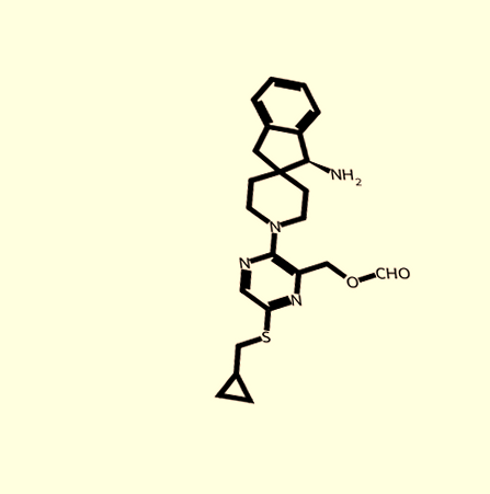 N[C@@H]1c2ccccc2CC12CCN(c1ncc(SCC3CC3)nc1COC=O)CC2